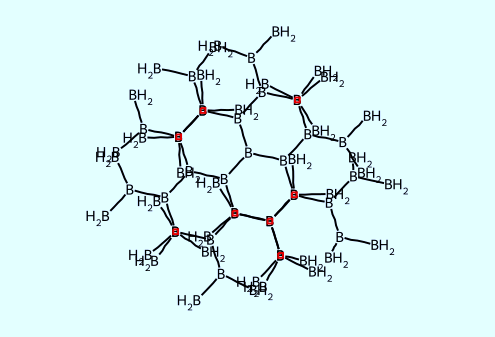 BB(B)B(B(B)B)B(B(B(B)B)B(B)B)B(B(B(B)B)B(B)B)B(B(B(B(B)B)B(B)B)B(B(B)B)B(B)B)B(B(B(B(B)B)B(B)B)B(B(B)B)B(B)B)B(B(B(B)B)B(B)B)B(B(B)B)B(B)B